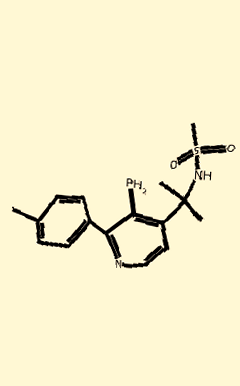 Cc1ccc(-c2nccc(C(C)(C)NS(C)(=O)=O)c2P)cc1